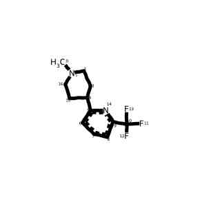 CN1CCC(c2cccc(C(F)(F)F)n2)CC1